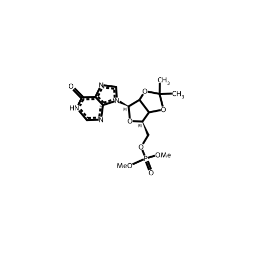 COP(=O)(OC)OC[C@H]1O[C@@H](n2cnc3c(=O)[nH]cnc32)C2OC(C)(C)OC21